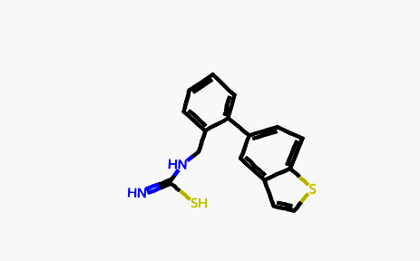 N=C(S)NCc1ccccc1-c1ccc2sccc2c1